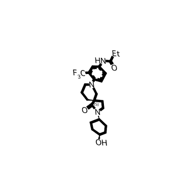 CCC(=O)Nc1ccc(N2CCC[C@]3(CCN([C@H]4CC[C@H](O)CC4)C3=O)C2)c(C(F)(F)F)c1